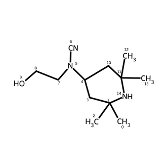 CC1(C)CC(N(C#N)CCO)CC(C)(C)N1